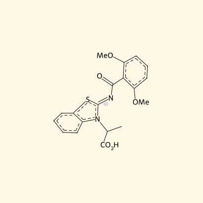 COc1cccc(OC)c1C(=O)/N=c1\sc2ccccc2n1C(C)C(=O)O